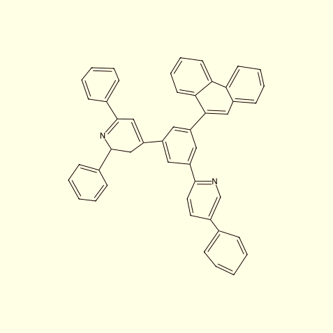 C1=C(c2cc(-c3ccc(-c4ccccc4)cn3)cc(-c3cc4ccccc4c4ccccc34)c2)CC(c2ccccc2)N=C1c1ccccc1